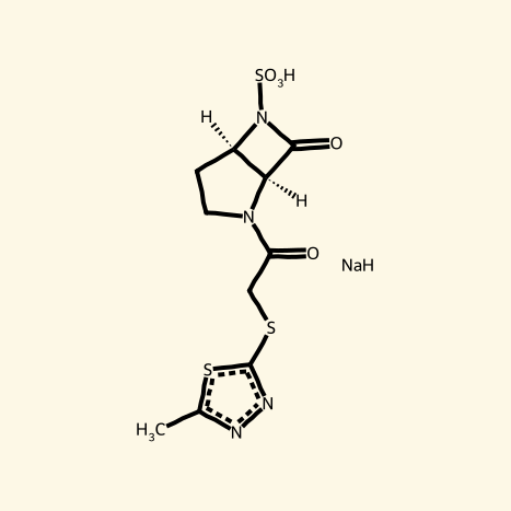 Cc1nnc(SCC(=O)N2CC[C@@H]3[C@H]2C(=O)N3S(=O)(=O)O)s1.[NaH]